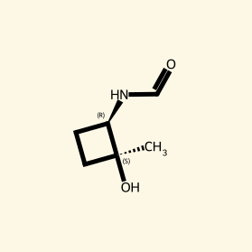 C[C@]1(O)CC[C@H]1NC=O